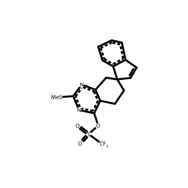 CSc1nc2c(c(OS(=O)(=O)C(F)(F)F)n1)CCC1(C=Cc3ccccc31)C2